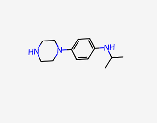 CC(C)Nc1ccc(N2CCNCC2)cc1